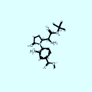 COC(=O)c1ccc(N2C(=O)CCC2C(N)C(=O)OC(C)(C)C)c(N)c1